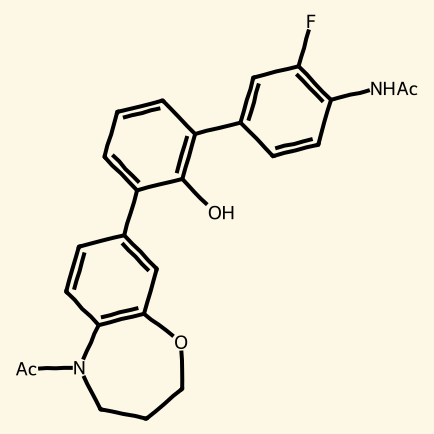 CC(=O)Nc1ccc(-c2cccc(-c3ccc4c(c3)OCCCN4C(C)=O)c2O)cc1F